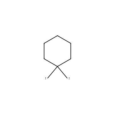 [CH]C1([CH])CCCCC1